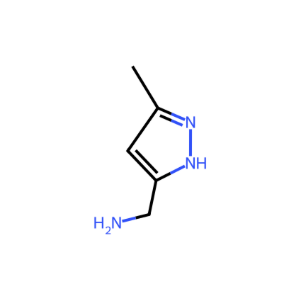 Cc1cc(CN)[nH]n1